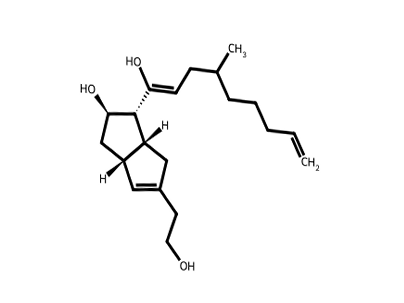 C=CCCCC(C)CC=C(O)[C@@H]1[C@@H]2CC(CCO)=C[C@@H]2C[C@H]1O